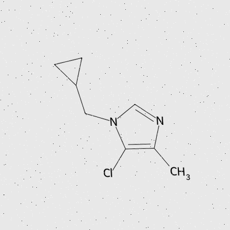 Cc1ncn(CC2CC2)c1Cl